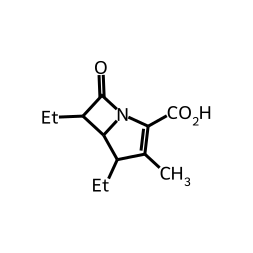 CCC1C(=O)N2C(C(=O)O)=C(C)C(CC)C12